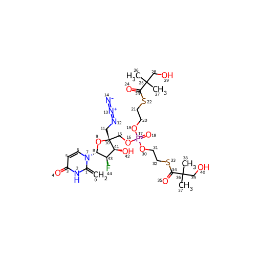 C=C1NC(=O)C=CN1[C@@H]1O[C@](CN=[N+]=[N-])(COP(=O)(OCCSC(=O)C(C)(C)CO)OCCSC(=O)C(C)(C)CO)[C@@H](O)[C@H]1F